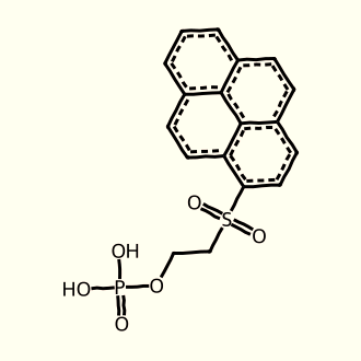 O=P(O)(O)OCCS(=O)(=O)c1ccc2ccc3cccc4ccc1c2c34